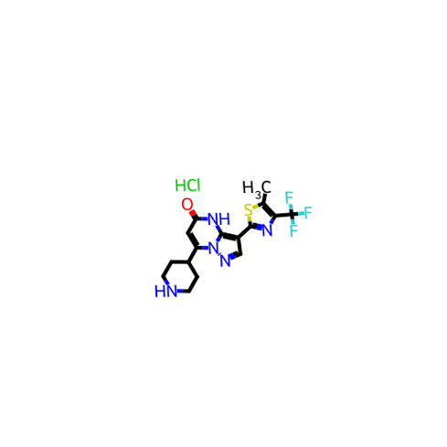 Cc1sc(-c2cnn3c(C4CCNCC4)cc(=O)[nH]c23)nc1C(F)(F)F.Cl